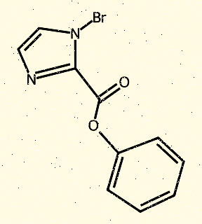 O=C(Oc1ccccc1)c1nccn1Br